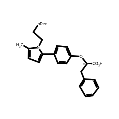 CCCCCCCCCCCCn1c(C)ccc1-c1ccc(O[C@H](Cc2ccccc2)C(=O)O)cc1